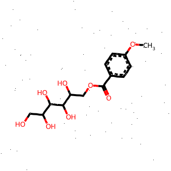 COc1ccc(C(=O)OCC(O)C(O)C(O)C(O)CO)cc1